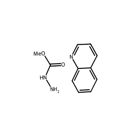 COC(=O)NN.c1ccc2ncccc2c1